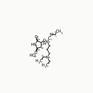 CCN=C=NCCCN(CC)CC.Cl.O=C1CC(O)C(=O)N1